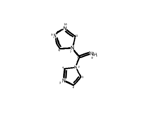 N=C(n1ccnc1)n1cnnc1